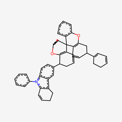 C1=CCCC(C2C=CC3=C(C2)Oc2ccccc2C32C3=CC=CCC3OC3=C2C=CCC3c2ccc3c(c2)c2c(n3-c3ccccc3)C=CCC2)=C1